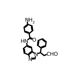 Nc1ccc(C(=O)Nc2ccc3ncn(C(CC=O)c4ccccc4)c3c2)cc1